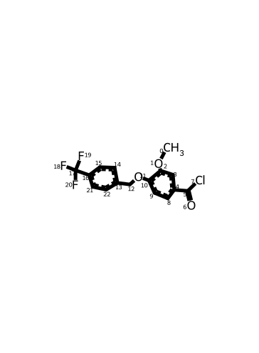 COc1cc(C(=O)Cl)ccc1OCc1ccc(C(F)(F)F)cc1